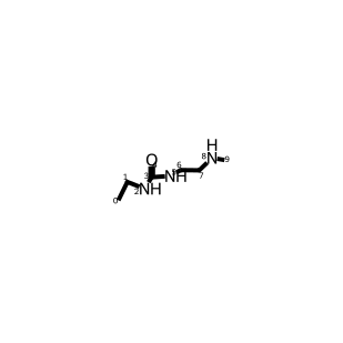 CCNC(=O)NCCNC